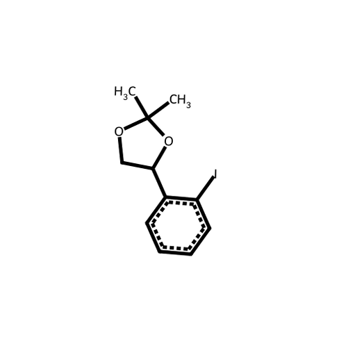 CC1(C)OCC(c2ccccc2I)O1